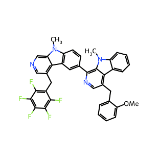 COc1ccccc1Cc1cnc(-c2ccc3c(c2)c2c(Cc4c(F)c(F)c(F)c(F)c4F)cncc2n3C)c2c1c1ccccc1n2C